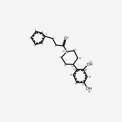 O=C(CCc1ccccc1)N1CCC(c2ccc(O)cc2O)CC1